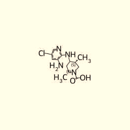 C[C@@H]1CC(Nc2ncc(Cl)cc2N)[C@@H](C)CN1C(=O)O